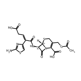 CC(=O)OCC1=C(C(=O)O)N2C(=O)[C@@H](NC(=O)C(=CCC(=O)O)c3csc(N)n3)[C@@H]2SC1